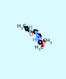 COc1ccc(Nc2nccc(N3CCC[C@H](C(=O)NCc4ccc(C)cc4)C3)n2)cc1OC